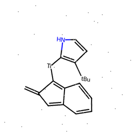 C=C1C=c2ccccc2=[C]1[Ti][c]1[nH]ccc1C(C)(C)C